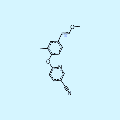 CO/C=C/c1ccc(Oc2ccc(C#N)cn2)c(C)c1